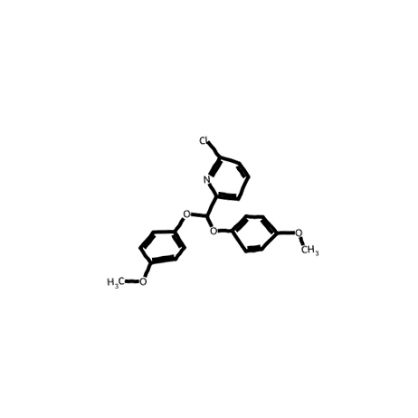 COc1ccc(OC(Oc2ccc(OC)cc2)c2cccc(Cl)n2)cc1